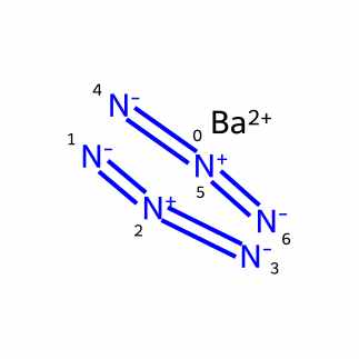 [Ba+2].[N-]=[N+]=[N-].[N-]=[N+]=[N-]